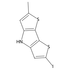 Cc1cc2[nH]c3cc(I)sc3c2s1